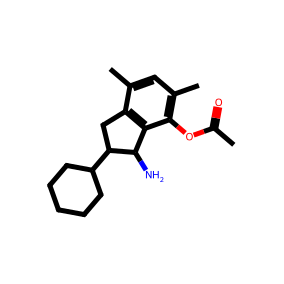 CC(=O)Oc1c(C)cc(C)c2c1C(N)C(C1CCCCC1)C2